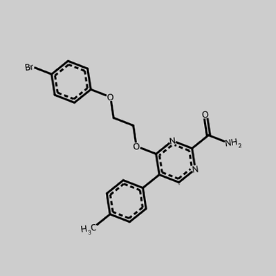 Cc1ccc(-c2[c]nc(C(N)=O)nc2OCCOc2ccc(Br)cc2)cc1